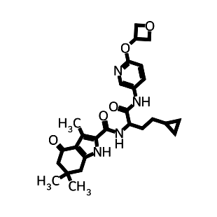 Cc1c(C(=O)NC(CCC2CC2)C(=O)Nc2ccc(OC3COC3)nc2)[nH]c2c1C(=O)CC(C)(C)C2